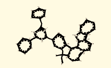 CC1(C)c2cc(-c3nc(-c4ccccc4)nc(-c4ccccc4)n3)ccc2-c2c1ccc1ccc3c4ccccc4oc3c21